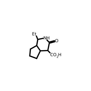 CCC1NC(=O)C(C(=O)O)C2CCCC12